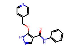 O=C(Nc1ccccc1)c1cn[nH]c1OCc1ccncc1